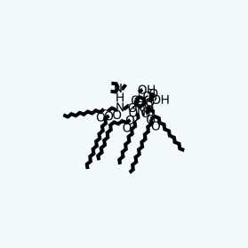 CCCCCCCCCCCCCC(=O)O[C@H](CCCCCCCCCCC)CC(=O)NCCO[C@H]1O[C@H](CO)[C@@H](OP(=O)(O)O)[C@H](OC(=O)C[C@@H](CCCCCCCCCCC)OC(=O)CCCCCCCCCCCCC)[C@@H]1NC(=O)C[C@@H](CCCCCCCCCCC)OC(=O)CCCCCCCCCCCCC.CCN(CC)CC